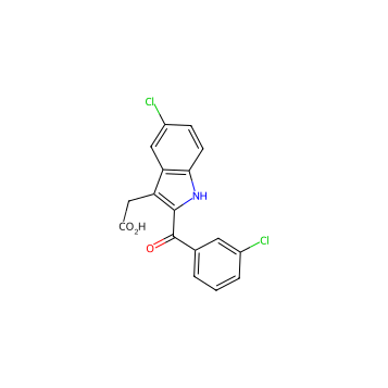 O=C(O)Cc1c(C(=O)c2cccc(Cl)c2)[nH]c2ccc(Cl)cc12